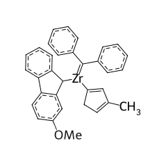 COc1ccc2c(c1)[CH]([Zr]([C]1=CC(C)=CC1)=[C](c1ccccc1)c1ccccc1)c1ccccc1-2